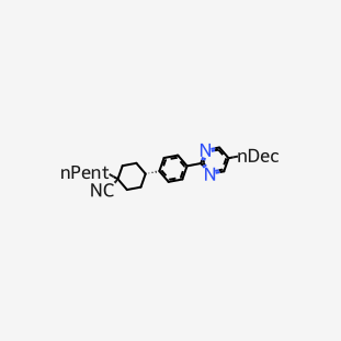 CCCCCCCCCCc1cnc(-c2ccc([C@H]3CC[C@@](C#N)(CCCCC)CC3)cc2)nc1